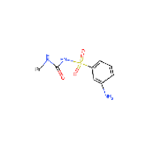 CC(C)NC(=O)NS(=O)(=O)c1cccc(N)c1